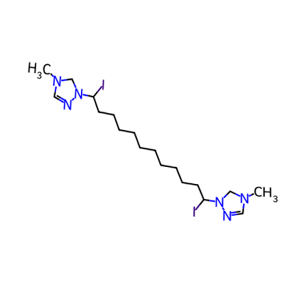 CN1C=NN(C(I)CCCCCCCCCCC(I)N2CN(C)C=N2)C1